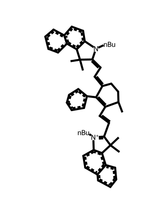 CCCCN1/C(=C/C=C2\CCC(C)C(/C=C/C3=[N+](CCCC)c4ccc5ccccc5c4C3(C)C)=C2c2ccccc2)C(C)(C)c2c1ccc1ccccc21